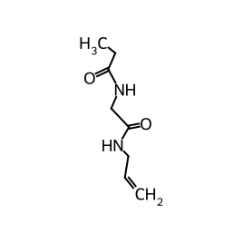 C=CCNC(=O)CNC(=O)CC